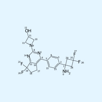 NC1(c2ccc(-c3nc(N4CC(O)C4)nc4c3CCC4(F)F)cc2)CC(F)(F)C1